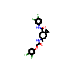 CC1(NC(=O)COc2ccc(Cl)c(F)c2)CCC(C(=O)Nc2ccc(Cl)c(F)c2)C2(CC1)CC2